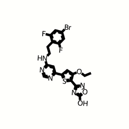 CCOc1cc(-c2cc(NCCc3c(F)cc(Br)cc3F)ncn2)sc1-c1noc(O)n1